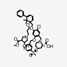 COC(=O)C1CN(CCCOC2(COc3cc(OCc4cncc(S(C)(=O)=O)c4)c(CN4CCCC[C@H]4C(=O)O)cc3Cl)C=CC=C(c3ccccc3)C2(C)C)CC1O